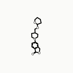 O=C1OCc2cc(N3CCC(COC4CCCCO4)CC3)ccc21